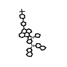 CC(C)(C)c1ccc(-c2ccc(-c3cc4cccc5c4c4c3cccc4c3c5c4ccc(N(c5ccc6ccccc6c5)c5ccc6ccccc6c5)cc4n3-c3ccccc3)cc2)cc1